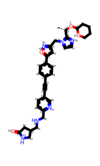 C[C@H](OC1CCCCO1)c1nccn1Cc1cc(-c2ccc(C#Cc3ccc(CNCC4CNC(=O)C4)nc3)cc2)on1